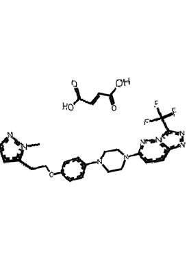 Cn1nccc1CCOc1ccc(N2CCN(c3ccc4nnc(C(F)(F)F)n4n3)CC2)cc1.O=C(O)C=CC(=O)O